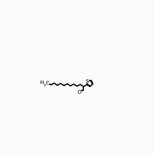 CCCCCCCCCCCC(C=O)c1cccs1